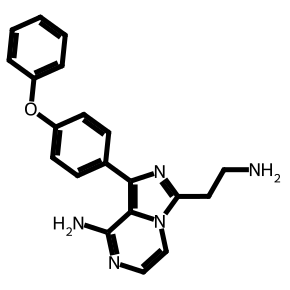 NCCc1nc(-c2ccc(Oc3ccccc3)cc2)c2c(N)nccn12